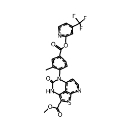 COC(=O)c1sc2nccc3c2c1NC(=O)N3c1ccc(C(=O)Oc2cc(C(F)(F)F)ccn2)cc1C